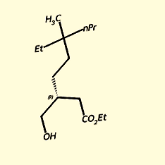 CCCC(C)(CC)CC[C@@H](CO)CC(=O)OCC